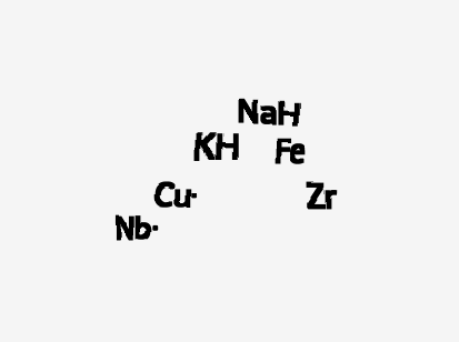 [Cu].[Fe].[KH].[NaH].[Nb].[Zr]